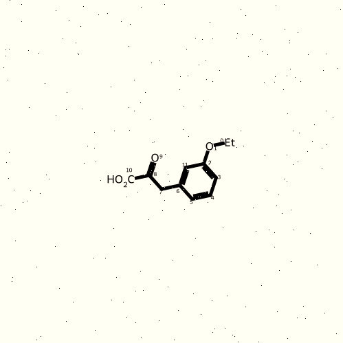 CCOc1cccc(CC(=O)C(=O)O)c1